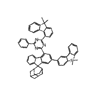 CC1(C)c2ccccc2-c2c(-c3nc(-c4ccccc4)nc(-c4cc(-c5ccc6c(c5)-c5ccccc5[Si]6(C)C)cc5c4-c4ccccc4C54C5CC6CC(C5)CC4C6)n3)cccc21